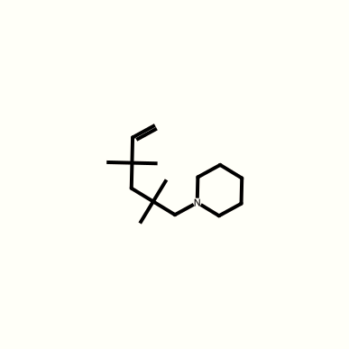 C=CC(C)(C)CC(C)(C)CN1CCCCC1